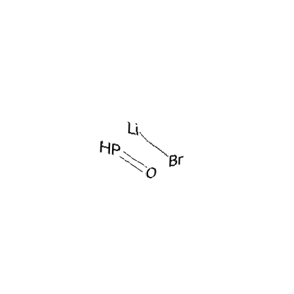 O=P.[Li][Br]